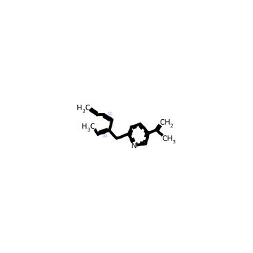 C=C/C=C\C(=C/C)Cc1ccc(C(=C)C)cn1